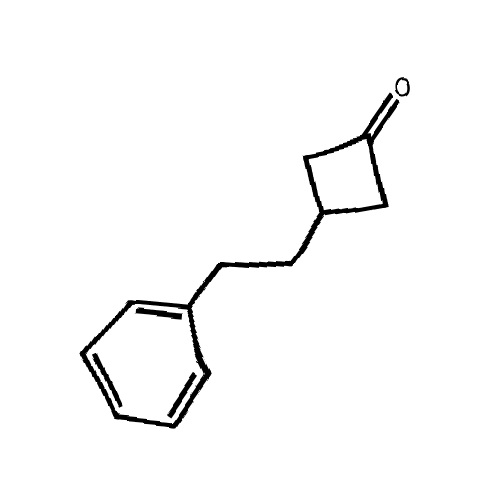 O=C1CC(CCc2ccccc2)C1